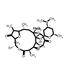 CC[C@H]1OC(=O)[C@H](C)[C@H]2OCC(=O)CO[C@@](C)(C[C@@H](C)C3O[C@@]1(C)C(=O)C3C)[C@H](O[C@@H]1O[C@H](C)C[C@H](N(C)C)[C@H]1OC)[C@H]2C